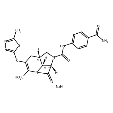 Cc1nnc(SC2=C(C(=O)O)N3C(=O)[C@@H]4[C@H]3[C@H](C2)CN4C(=O)Nc2ccc(C(N)=O)cc2)s1.[NaH]